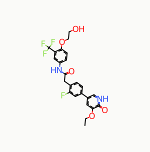 CCOc1cc(-c2ccc(CC(=O)Nc3ccc(OCCO)c(C(F)(F)F)c3)c(F)c2)c[nH]c1=O